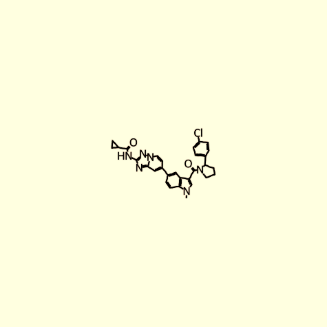 Cn1cc(C(=O)N2CCCC2c2ccc(Cl)cc2)c2cc(-c3ccn4nc(NC(=O)C5CC5)nc4c3)ccc21